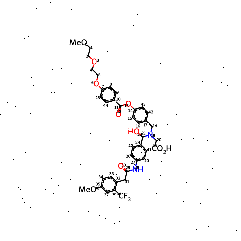 COCCOCCOc1ccc(C(=O)Oc2ccc(CN(CC(=O)O)C(O)c3ccc(NC(=O)Cc4ccc(OC)cc4C(F)(F)F)cc3)cc2)cc1